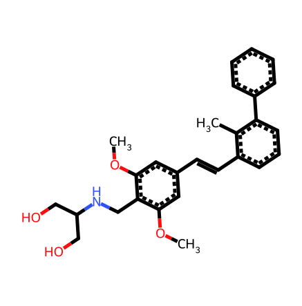 COc1cc(C=Cc2cccc(-c3ccccc3)c2C)cc(OC)c1CNC(CO)CO